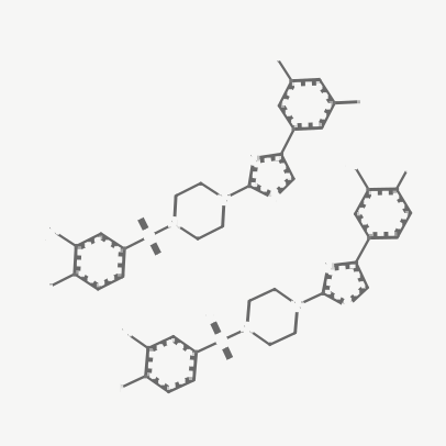 O=[N+]([O-])c1cc(S(=O)(=O)N2CCN(c3nc(-c4cc(F)cc(Cl)c4)cs3)CC2)ccc1Cl.O=[N+]([O-])c1cc(S(=O)(=O)N2CCN(c3nc(-c4ccc(F)c(Cl)c4)cs3)CC2)ccc1Cl